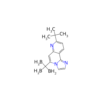 BC(B)(B)c1cc2nc(C(C)(C)C)ccc2c2nccn12